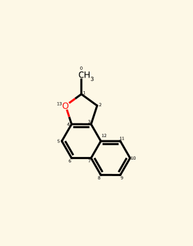 CC1Cc2c(ccc3ccccc23)O1